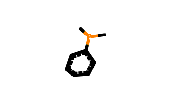 CP(C)c1cc[c]cc1